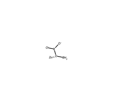 BOB([O-])[O-].[Zn+2]